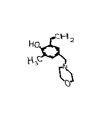 C=Cc1cc(CN2CCOCC2)cc(C)c1O